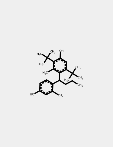 CCCC(c1ccc(O)cc1C)c1c(C(C)(C)C)cc(O)c(C(C)(C)C)c1C